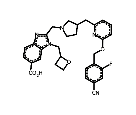 N#Cc1ccc(COc2cccc(CC3CCN(Cc4nc5ccc(C(=O)O)cc5n4CC4CCO4)C3)n2)c(F)c1